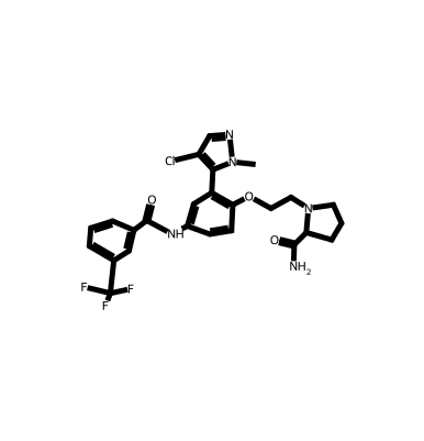 Cn1ncc(Cl)c1-c1cc(NC(=O)c2cccc(C(F)(F)F)c2)ccc1OCCN1CCCC1C(N)=O